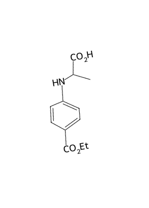 CCOC(=O)c1ccc(NC(C)C(=O)O)cc1